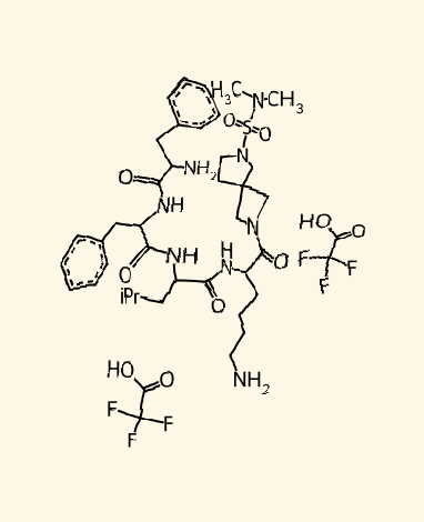 CC(C)CC(NC(=O)C(Cc1ccccc1)NC(=O)C(N)Cc1ccccc1)C(=O)NC(CCCCN)C(=O)N1CC2(CCN(S(=O)(=O)N(C)C)C2)C1.O=C(O)C(F)(F)F.O=C(O)C(F)(F)F